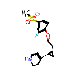 CS(=O)(=O)c1ccc(OCC[C@@H]2C[C@@H]2C2CCNCC2)c(F)c1